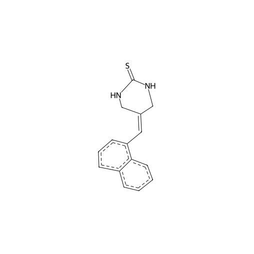 S=C1NCC(=Cc2cccc3ccccc23)CN1